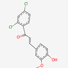 COc1cc(/C=C/C(=O)c2ccc(Cl)cc2Cl)ccc1O